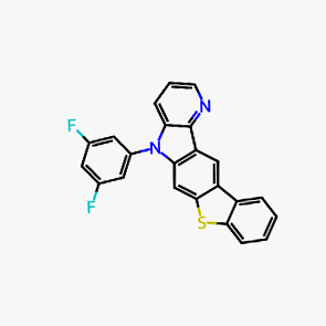 Fc1cc(F)cc(-n2c3cc4sc5ccccc5c4cc3c3ncccc32)c1